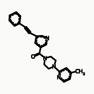 Cc1ccnc(N2CCN(C(=O)c3cncc(C#Cc4ccccc4)c3)CC2)c1